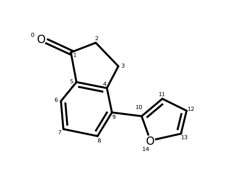 O=C1CCc2c1cccc2-c1ccco1